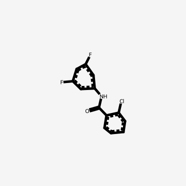 O=C(Nc1cc(F)cc(F)c1)c1ccccc1Cl